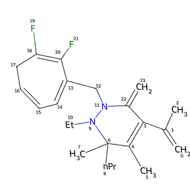 C=C(C)C1=C(C)C(C)(CCC)N(CC)N(CC2=CC=CCC(F)=C2F)C1=C